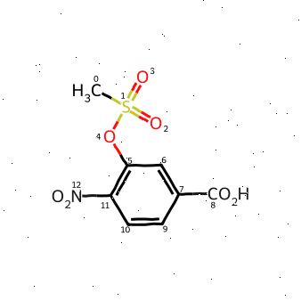 CS(=O)(=O)Oc1cc(C(=O)O)ccc1[N+](=O)[O-]